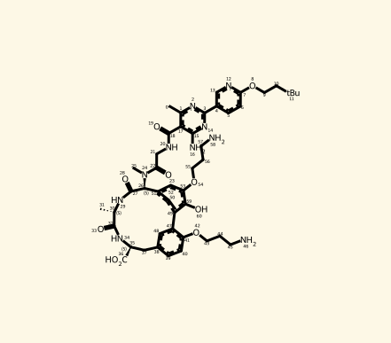 Cc1nc(-c2ccc(OCCC(C)(C)C)nc2)nc(N)c1C(=O)NCC(=O)N(C)[C@@H]1C(=O)N[C@@H](C)C(=O)N[C@H](C(=O)O)Cc2ccc(OCCCN)c(c2)-c2cc1cc(OCCCN)c2O